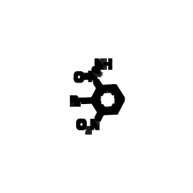 N=[N+]([O-])c1cccc([N+](=O)[O-])c1Br